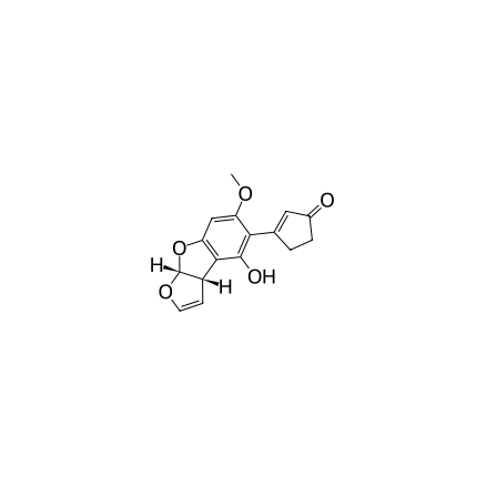 COc1cc2c(c(O)c1C1=CC(=O)CC1)[C@@H]1C=CO[C@@H]1O2